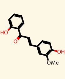 COc1cc(/C=C/C(=O)c2ccccc2O)ccc1O